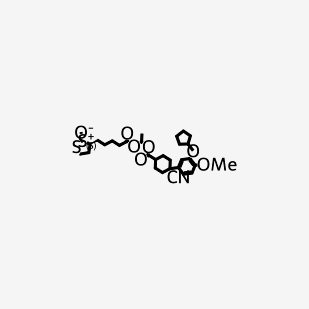 COc1ccc(C2(C#N)CCC(C(=O)OC(C)OC(=O)CCCC[C@H]3CCS[S+]3[O-])CC2)cc1OC1CCCC1